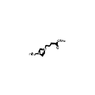 CCCCn1cc[n+](CCCC(=O)OC)c1